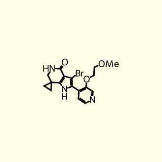 COCCOc1cnccc1-c1[nH]c2c(c1Br)C(=O)NCC21CC1